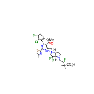 COC(=O)C1=C(CN2CC(F)(F)[C@H]3[C@@H]2CCN3C[C@@H](F)C(C)(C)C(=O)O)NC(c2nc(C)cs2)=N[C@H]1c1cccc(F)c1Cl